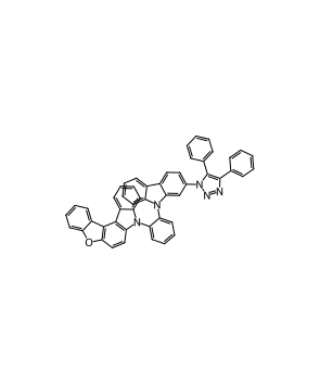 c1ccc(-c2nnn(-c3ccc4c5ccccc5n(-c5ccccc5-n5c6ccccc6c6c7c(ccc65)oc5ccccc57)c4c3)c2-c2ccccc2)cc1